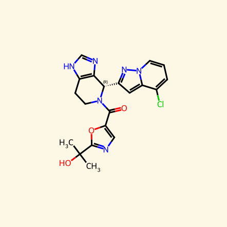 CC(C)(O)c1ncc(C(=O)N2CCc3[nH]cnc3[C@@H]2c2cc3c(Cl)cccn3n2)o1